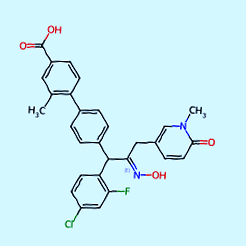 Cc1cc(C(=O)O)ccc1-c1ccc(C(/C(Cc2ccc(=O)n(C)c2)=N/O)c2ccc(Cl)cc2F)cc1